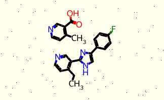 CCc1ccncc1-c1nc(-c2ccc(F)cc2)c[nH]1.Cc1ccncc1C(=O)O